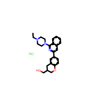 CCN1CCN(c2nc(-c3ccc4c(c3)CC(CO)CO4)cc3ccccc23)CC1.Cl